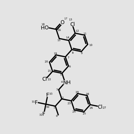 CC(C(CNc1cc(-c2cccc(Cl)c2CC(=O)O)ccc1Cl)c1ccc(Cl)cc1)C(F)(F)F